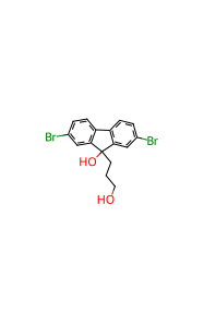 OCCCC1(O)c2cc(Br)ccc2-c2ccc(Br)cc21